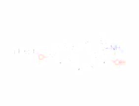 CCCCCCCOc1ccc2c(c1)CCC(C(N)(CC)CO)C2